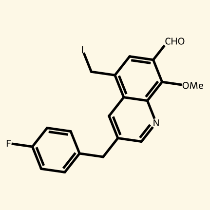 COc1c(C=O)cc(CI)c2cc(Cc3ccc(F)cc3)cnc12